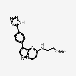 COCCNc1ccn2ncc(-c3ccc(-c4nnn[nH]4)cc3)c2n1